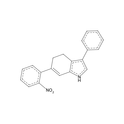 O=[N+]([O-])c1ccccc1C1=Cc2[nH]cc(-c3ccccc3)c2CC1